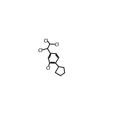 Clc1cc(C(Cl)C(Cl)Cl)ccc1C1CCCC1